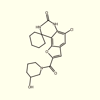 O=C1Nc2c(Cl)cc3cc(C(=O)N4CCCC(O)C4)oc3c2C2(CCCCC2)N1